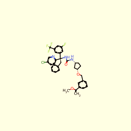 C=C(OC)c1cccc(CO[C@H]2CC[C@@H](NC(=O)N[C@@](Cc3ccccc3)(c3cc(F)cc(C(F)(F)F)c3)c3ccc(Cl)cn3)C2)c1